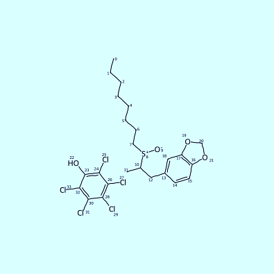 CCCCCCCC[S+]([O-])C(C)Cc1ccc2c(c1)OCO2.Oc1c(Cl)c(Cl)c(Cl)c(Cl)c1Cl